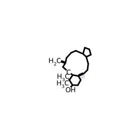 C=C1CCCC2CCCC2CC/C=C2/CCC(O)C(C)(C)C2CC1